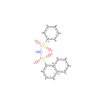 O=S(=O)(NS(=O)(=O)c1cccc2ccccc12)c1ccccc1